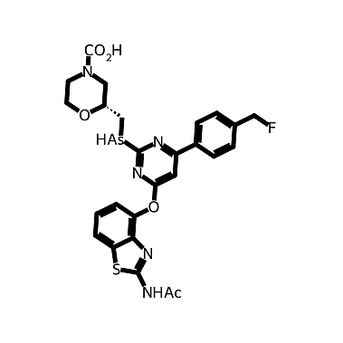 CC(=O)Nc1nc2c(Oc3cc(-c4ccc(CF)cc4)nc([AsH]C[C@H]4CN(C(=O)O)CCO4)n3)cccc2s1